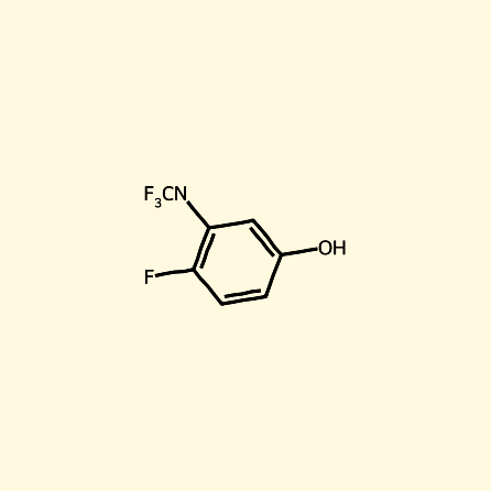 Oc1ccc(F)c(NC(F)(F)F)c1